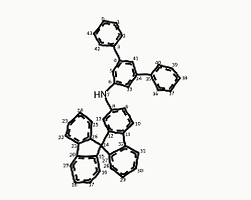 c1ccc(-c2cc(Nc3ccc4c(c3)C3(c5ccccc5-c5ccccc53)c3ccccc3-4)cc(-c3ccccc3)c2)cc1